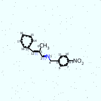 CC(/C=N/Cc1ccc([N+](=O)[O-])cc1)=C\c1ccccc1